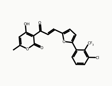 Cc1cc(O)c(C(=O)C=Cc2ccc(-c3cccc(Cl)c3C(F)(F)F)o2)c(=O)o1